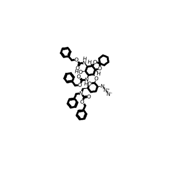 [N-]=[N+]=N[C@@H]1CC[C@@H](CN(Cc2ccccc2)C(=O)OCc2ccccc2)O[C@@H]1O[C@@H]1[C@@H](NC(=O)OCc2ccccc2)[C@H](O)[C@@H](NC(=O)OCc2ccccc2)[C@@H]2OC3(CCCCC3)O[C@@H]12